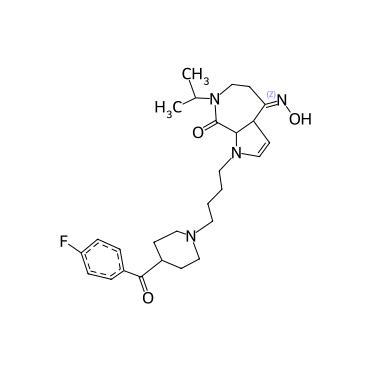 CC(C)N1CC/C(=N/O)C2C=CN(CCCCN3CCC(C(=O)c4ccc(F)cc4)CC3)C2C1=O